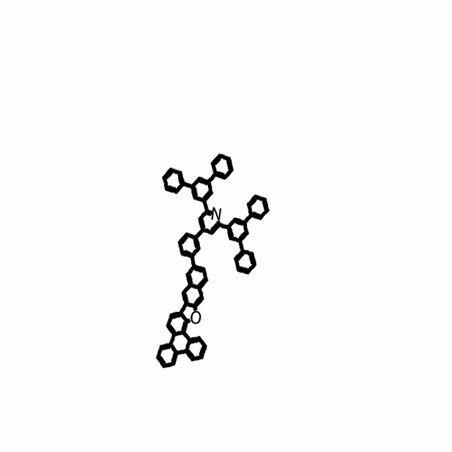 c1ccc(-c2cc(-c3ccccc3)cc(-c3cc(-c4cccc(-c5ccc6cc7oc8c(ccc9c%10ccccc%10c%10ccccc%10c98)c7cc6c5)c4)cc(-c4cc(-c5ccccc5)cc(-c5ccccc5)c4)n3)c2)cc1